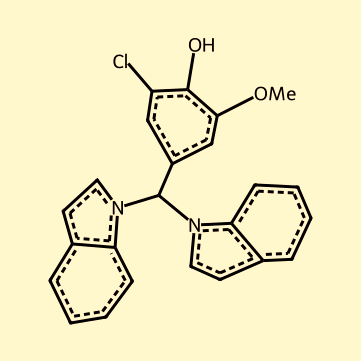 COc1cc(C(n2ccc3ccccc32)n2ccc3ccccc32)cc(Cl)c1O